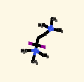 C[N+](C)(C)CCC(I)(I)[N+](C)(C)C